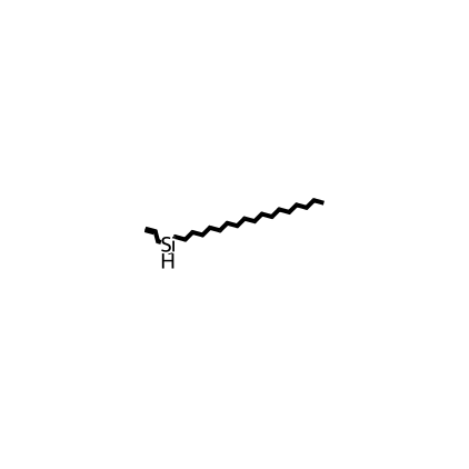 C=CC[SiH](C)CCCCCCCCCCCCCCCCCC